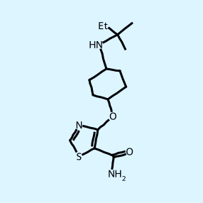 CCC(C)(C)NC1CCC(Oc2ncsc2C(N)=O)CC1